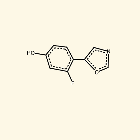 Oc1ccc(-c2cnco2)c(F)c1